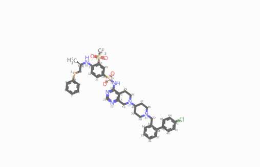 C[C@H](CSc1ccccc1)Nc1ccc(S(=O)(=O)Nc2ncnc3c2CCN(C2CCN(Cc4ccccc4-c4ccc(Cl)cc4)CC2)C3)cc1S(=O)(=O)C(F)(F)F